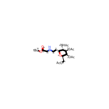 CC(=O)N[C@@H]1[C@@H](OC(C)=O)[C@@H](OC(C)=O)[C@@H](COC(C)=O)O[C@@H]1CCNCC(=O)OC(C)(C)C